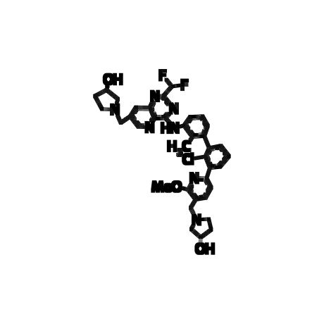 COc1nc(-c2cccc(-c3cccc(Nc4nc(C(F)F)nc5cc(CN6CC[C@@H](O)C6)cnc45)c3C)c2Cl)ccc1CN1CC[C@H](O)C1